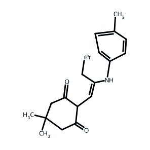 [CH2]c1ccc(NC(=CC2C(=O)CC(C)(C)CC2=O)CC(C)C)cc1